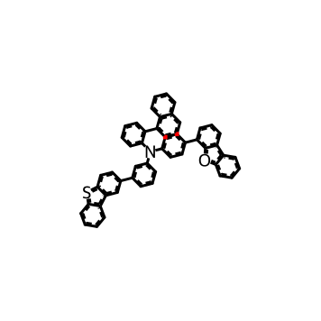 c1cc(-c2ccc3sc4ccccc4c3c2)cc(N(c2ccc(-c3cccc4c3oc3ccccc34)cc2)c2ccccc2-c2cccc3ccccc23)c1